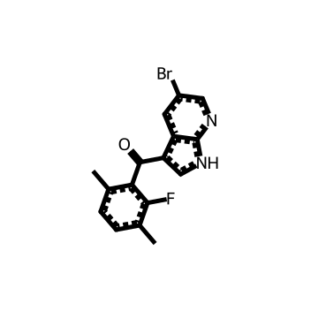 Cc1ccc(C)c(C(=O)c2c[nH]c3ncc(Br)cc23)c1F